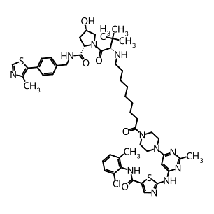 Cc1nc(Nc2ncc(C(=O)Nc3c(C)cccc3Cl)s2)cc(N2CCN(C(=O)CCCCCCCCN[C@H](C(=O)N3C[C@H](O)C[C@H]3C(=O)NCc3ccc(-c4scnc4C)cc3)C(C)(C)C)CC2)n1